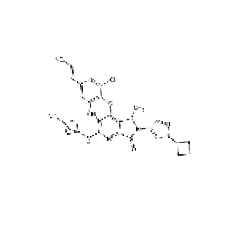 Cc1cc(/C=C/C#N)cc(C)c1Oc1nc(NC23CC(C#N)(C2)C3)nc2c1C(C)N(c1cnn(C3CCC3)c1)C2=O